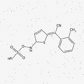 CCCS(=O)(=O)ONC1C=C/C(=C(\C#N)c2ccccc2C)S1